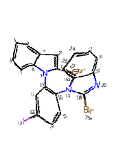 Brc1cc2ccccc2n1-c1cc(I)ccc1-n1c(Br)nc2ccccc21